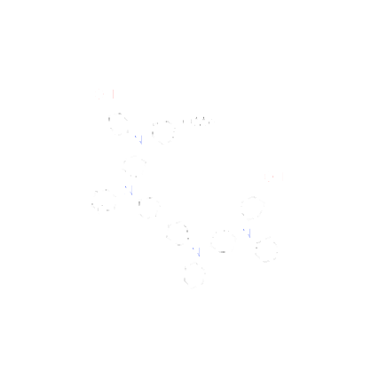 COc1ccc(N(c2ccc(CO)cc2)c2ccc(N(c3ccccc3)c3ccc(-c4ccc(N(c5ccccc5)c5ccc(N(c6ccc(C)cc6)c6ccc(CO)cc6)cc5)cc4)cc3)cc2)cc1